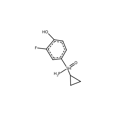 O=[SH](P)(c1ccc(O)c(F)c1)C1CC1